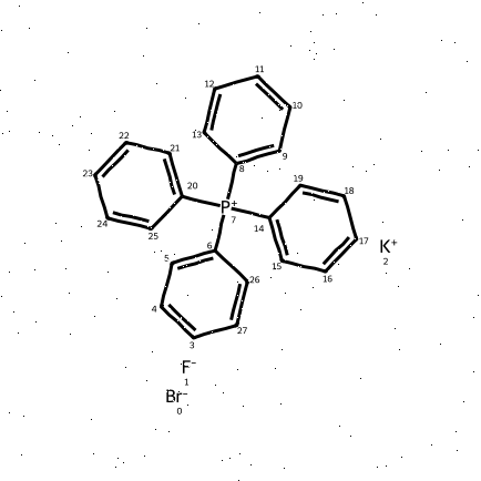 [Br-].[F-].[K+].c1ccc([P+](c2ccccc2)(c2ccccc2)c2ccccc2)cc1